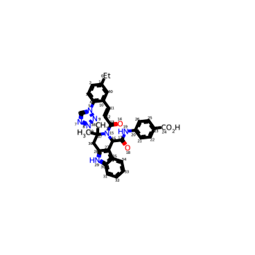 CCc1ccc(-n2cnnn2)c(/C=C/C(=O)N2C(C(=O)Nc3ccc(C(=O)O)cc3)c3c([nH]c4ccccc34)CC2(C)C)c1